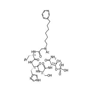 CC(=O)N(CCCCCCCc1ccccc1)CC(=O)N[C@@H](CC(C)C)C(=O)N[C@@H](Cc1c[nH]cn1)C(=O)N[C@@H](CO)C(=O)N[C@H](C(N)=O)[C@@H](C)OP(=O)(O)O